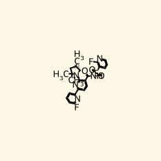 C[C@@H]1CN(c2nc(-c3cccc(F)n3)ccc2C(=O)NS(=O)(=O)c2cccnc2F)C(C)(C)C1